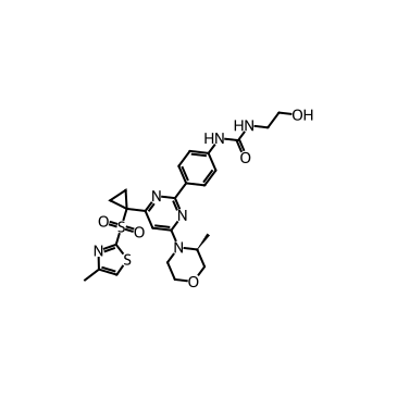 Cc1csc(S(=O)(=O)C2(c3cc(N4CCOC[C@@H]4C)nc(-c4ccc(NC(=O)NCCO)cc4)n3)CC2)n1